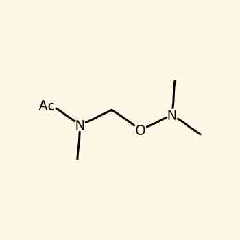 CC(=O)N(C)CON(C)C